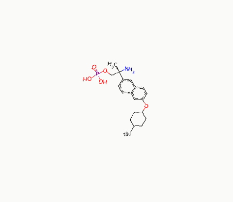 CC(C)(C)C1CCC(Oc2ccc3cc([C@@](C)(N)COP(=O)(O)O)ccc3c2)CC1